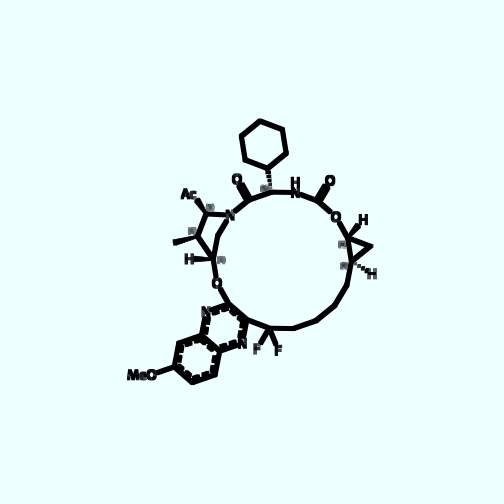 COc1ccc2nc3c(nc2c1)O[C@H]1CN(C(=O)[C@H](C2CCCCC2)NC(=O)O[C@@H]2C[C@H]2CCCCC3(F)F)[C@H](C(C)=O)[C@@H]1C